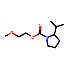 COCCOC(=O)N1CCCC1C(C)C